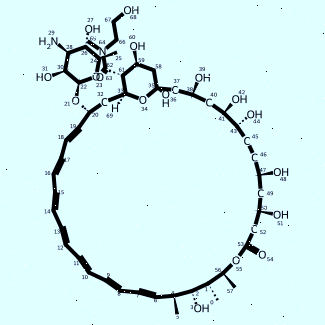 C[C@@H]1[C@H](O)[C@@H](C)/C=C/C=C/C=C/C=C/C=C/C=C/C=C/[C@H](O[C@@H]2O[C@H](C)[C@@H](O)[C@H](N)[C@@H]2O)C[C@@H]2O[C@](O)(C[C@@H](O)C[C@@H](O)[C@H](O)CC[C@@H](O)C[C@@H](O)CC(=O)O[C@H]1C)C[C@H](O)[C@H]2C(=O)N(C)CCO